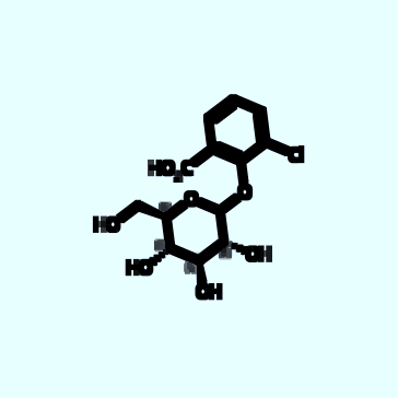 O=C(O)c1cccc(Cl)c1OC1O[C@H](CO)[C@@H](O)[C@H](O)[C@H]1O